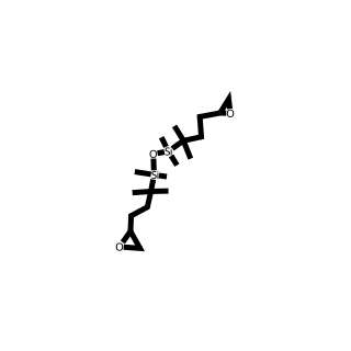 CC(C)(CCC1CO1)[Si](C)(C)O[Si](C)(C)C(C)(C)CCC1CO1